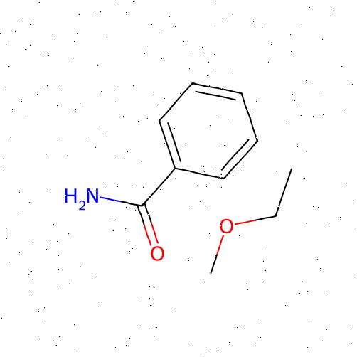 CCOC.NC(=O)c1ccccc1